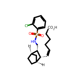 O=C(O)CCC/C=C\[C@@H]1[C@H]2CC[C@H](C2)[C@@H]1CNS(=O)(=O)c1ccccc1Cl